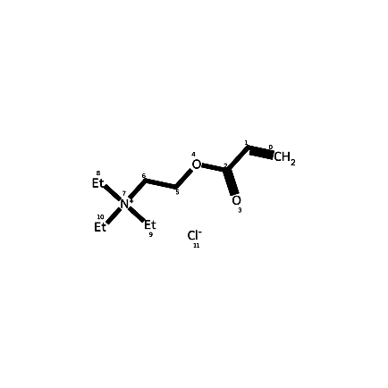 C=CC(=O)OCC[N+](CC)(CC)CC.[Cl-]